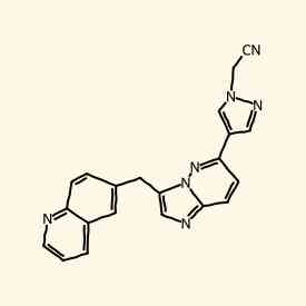 N#CCn1cc(-c2ccc3ncc(Cc4ccc5ncccc5c4)n3n2)cn1